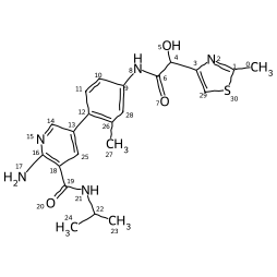 Cc1nc(C(O)C(=O)Nc2ccc(-c3cnc(N)c(C(=O)NC(C)C)c3)c(C)c2)cs1